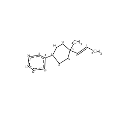 C/C=C/C1(C)CCC(c2ccccc2)CC1